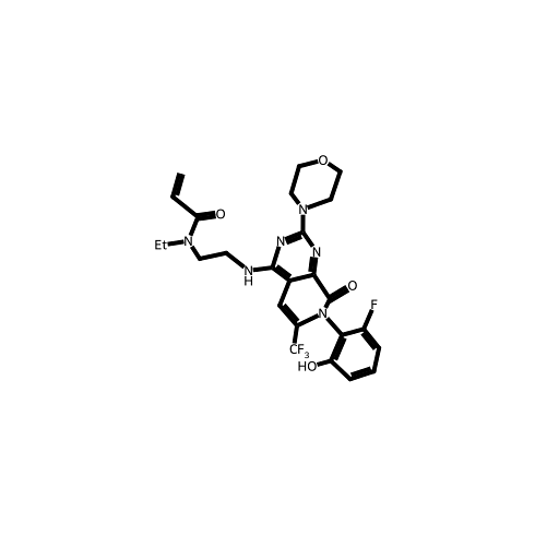 C=CC(=O)N(CC)CCNc1nc(N2CCOCC2)nc2c(=O)n(-c3c(O)cccc3F)c(C(F)(F)F)cc12